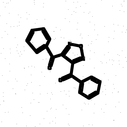 O=C(c1ccccc1)c1nonc1C(=O)c1ccccc1